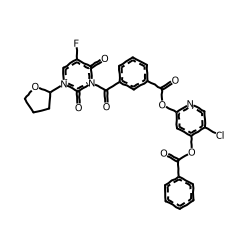 O=C(Oc1cc(OC(=O)c2ccccc2)c(Cl)cn1)c1cccc(C(=O)n2c(=O)c(F)cn(C3CCCO3)c2=O)c1